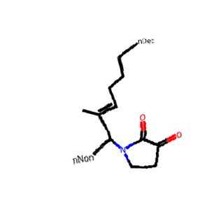 CCCCCCCCCCCCCC=C(C)C(CCCCCCCCC)N1CCC(=O)C1=O